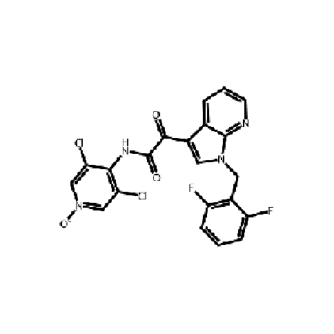 O=C(Nc1c(Cl)c[n+]([O-])cc1Cl)C(=O)c1cn(Cc2c(F)cccc2F)c2ncccc12